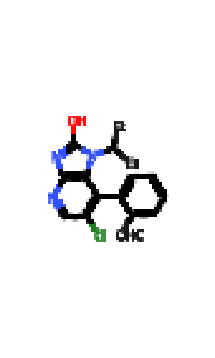 CCC(CC)n1c(O)nc2ncc(Cl)c(-c3ccccc3C=O)c21